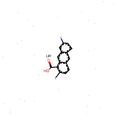 O=C(O)c1c(I)ccc2cc3ccc(I)cc3cc12.[LiH]